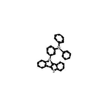 c1ccc(N(c2ccccc2)c2cccc(-n3c4ccccc4c4sc5ccccc5c43)c2)cc1